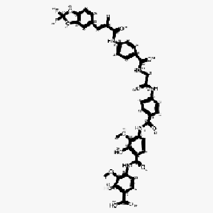 COc1c(NC(=O)c2ccc(NC(=O)c3ccc(NC(=O)CNC(=O)c4ccc(NC(=O)/C(C)=C/c5ccc6c(c5)OC(F)(F)O6)cc4)cc3)c(OC)c2O)ccc(C(=O)O)c1O